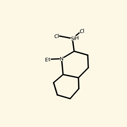 CCN1C2CCCCC2CCC1[SiH](Cl)Cl